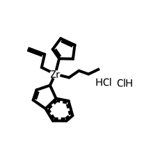 C=C[CH2][Zr]([CH2]CCC)([C]1=CC=CC1)[CH]1C=Cc2ccccc21.Cl.Cl